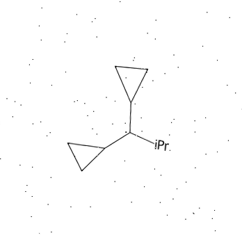 CC(C)[C](C1CC1)C1CC1